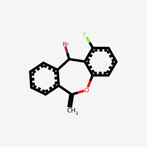 C=C1Oc2cccc(F)c2C(Br)c2ccccc21